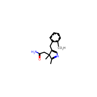 CC1=NC=C(Cc2ccccc2C(=O)O)C1(C)CC(N)=O